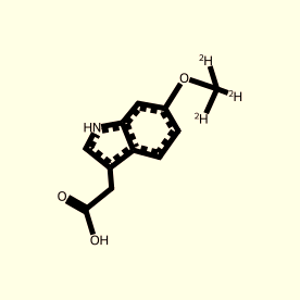 [2H]C([2H])([2H])Oc1ccc2c(CC(=O)O)c[nH]c2c1